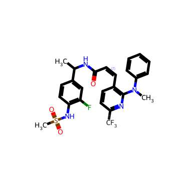 CC(NC(=O)/C=C\c1ccc(C(F)(F)F)nc1N(C)c1ccccc1)c1ccc(NS(C)(=O)=O)c(F)c1